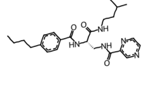 CCCCc1ccc(C(=O)N[C@@H](CNC(=O)c2cnccn2)C(=O)NCCC(C)C)cc1